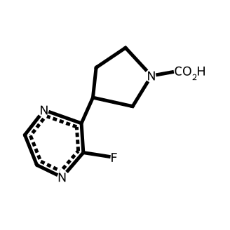 O=C(O)N1CCC(c2nccnc2F)C1